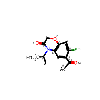 CCOC(=O)C(C)N1C(=O)COc2cc(F)c(C(=O)C(C)=O)cc21